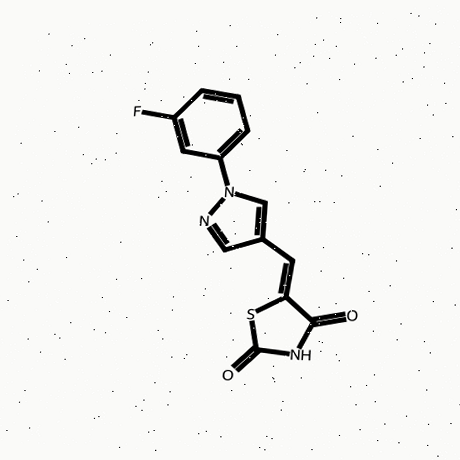 O=C1NC(=O)/C(=C/c2cnn(-c3cccc(F)c3)c2)S1